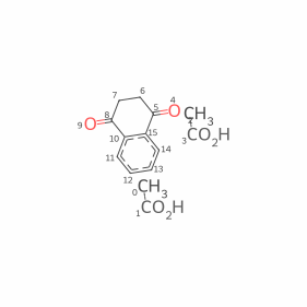 CC(=O)O.CC(=O)O.O=C1CCC(=O)c2ccccc21